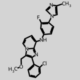 COCc1c(-c2ccccc2Cl)nc2c(Nc3ccc(-n4cnc(C)c4)c(F)c3)cccn12